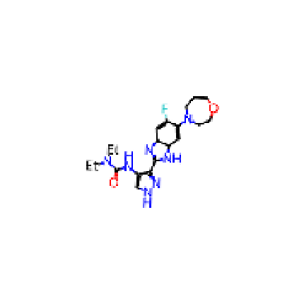 CCN(CC)C(=O)Nc1c[nH]nc1C1=NC2C=C(F)C(N3CCCOCC3)=CC2N1